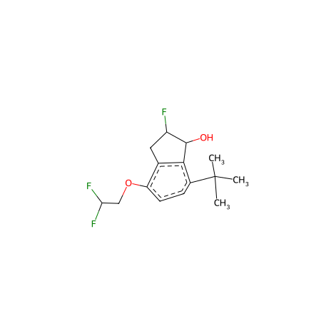 CC(C)(C)c1ccc(OCC(F)F)c2c1C(O)C(F)C2